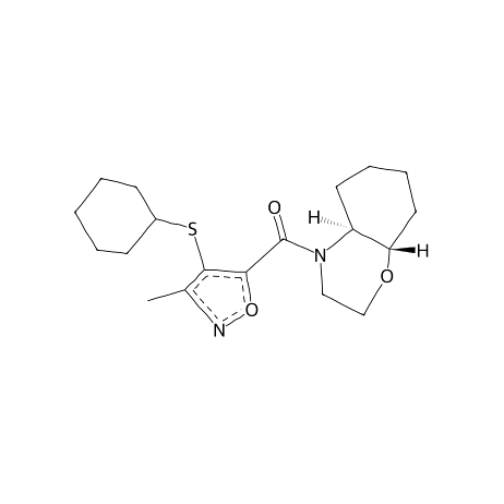 Cc1noc(C(=O)N2CCO[C@H]3CCCC[C@@H]32)c1SC1CCCCC1